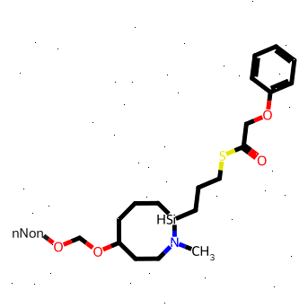 CCCCCCCCCOCOC1CCC[SiH](CCCSC(=O)COc2ccccc2)N(C)CC1